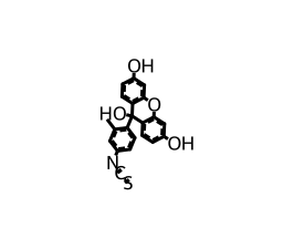 Cc1cc(N=C=S)ccc1C1(O)c2ccc(O)cc2Oc2cc(O)ccc21